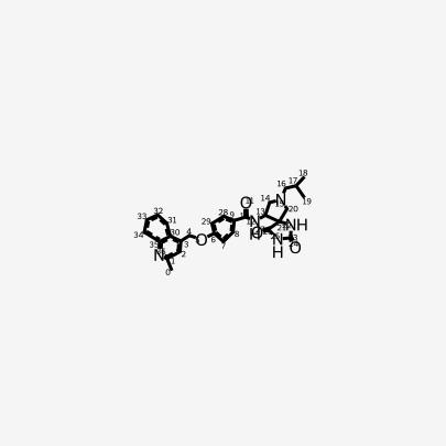 Cc1cc(COc2ccc(C(=O)NC3CN(CC(C)C)CC34NC(=O)NC4=O)cc2)c2ccccc2n1